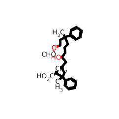 C=C(C(=O)O)C(C)(CCCC(O)CCCC(C)(CCOC=O)c1ccccc1)c1ccccc1